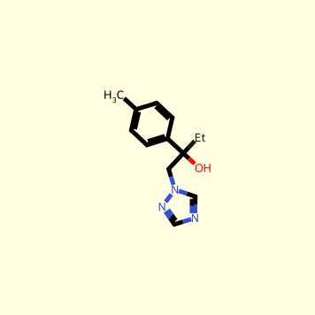 CCC(O)(Cn1cncn1)c1ccc(C)cc1